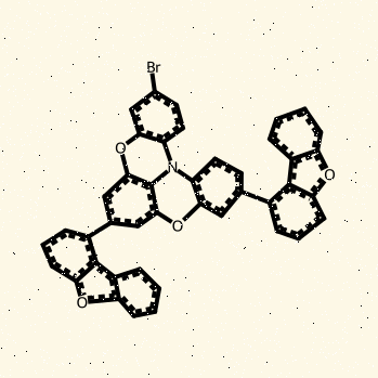 Brc1ccc2c(c1)Oc1cc(-c3cccc4oc5ccccc5c34)cc3c1N2c1ccc(-c2cccc4oc5ccccc5c24)cc1O3